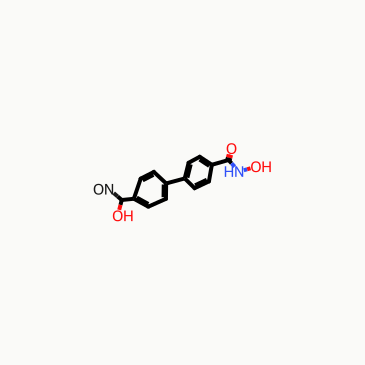 O=NC(O)c1ccc(-c2ccc(C(=O)NO)cc2)cc1